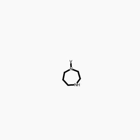 [V][N]1CCCNCC1